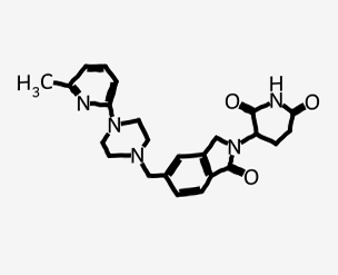 Cc1cccc(N2CCN(Cc3ccc4c(c3)CN(C3CCC(=O)NC3=O)C4=O)CC2)n1